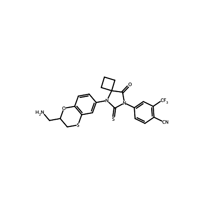 N#Cc1ccc(N2C(=O)C3(CCC3)N(c3ccc4c(c3)SCC(CN)O4)C2=S)cc1C(F)(F)F